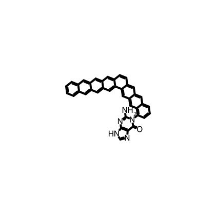 Nc1nc2[nH]cnc2c(=O)n1-c1cccc2cc3cc4ccc5cc6cc7cc8ccccc8cc7cc6cc5c4cc3cc12